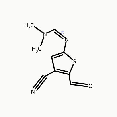 CN(C)/C=N\c1cc(C#N)c(C=O)s1